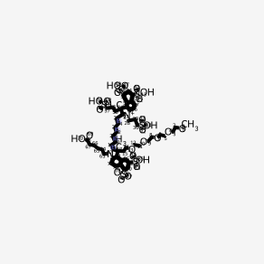 COCCOCCOCCOCCOCCC1(C)\C(=C/C=C/C=C/C=C/C2=[N+](CCCS(=O)(=O)O)c3ccc4c(S(=O)(=O)O)cc(S(=O)(=O)O)cc4c3C2(C)CCCS(=O)(=O)O)N(CCCCCC(=O)O)c2ccc3c(S(=O)(=O)[O-])cc(S(=O)(=O)O)cc3c21